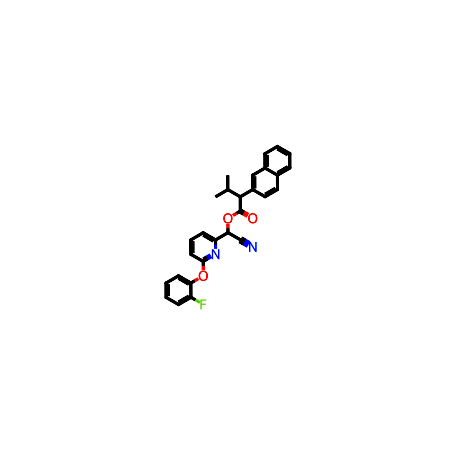 CC(C)C(C(=O)OC(C#N)c1cccc(Oc2ccccc2F)n1)c1ccc2ccccc2c1